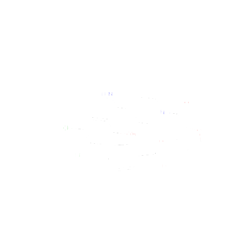 NC(c1cc(Cl)c(Cl)cc1O)C1CCN(C(=O)[C@@H]2OCC[C@@H]2OC(=O)c2ccccc2)CC1